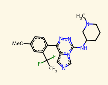 COc1ccc(-c2nnc(NC3CCCN(C)C3)n3cncc23)c(C(F)(F)C(F)(F)F)c1